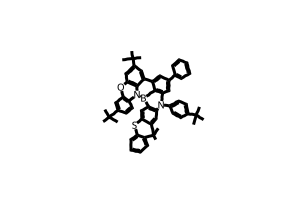 CC(C)(C)c1ccc(N2c3cc4c(cc3B3c5c(cc(-c6ccccc6)cc52)-c2cc(C(C)(C)C)cc5c2N3c2ccc(C(C)(C)C)cc2O5)Sc2ccccc2C4(C)C)cc1